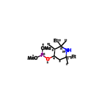 CCC1(C)CC(OP(OC)OC)C(C)C(C)(CC)N1